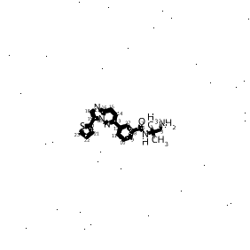 CC(C)(CN)NC(=O)c1cccc(-c2ccc3ncc(-c4cccs4)n3n2)c1